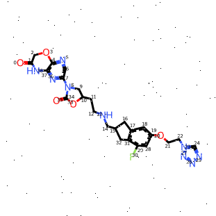 O=C1COc2ncc(N3CC(CCNCC4Cc5cc(OCCn6cnnn6)cc(F)c5C4)OC3=O)nc2N1